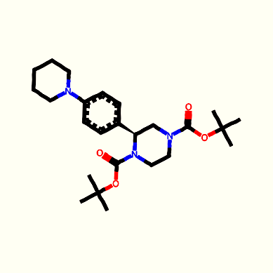 CC(C)(C)OC(=O)N1CCN(C(=O)OC(C)(C)C)[C@@H](c2ccc(N3CCCCC3)cc2)C1